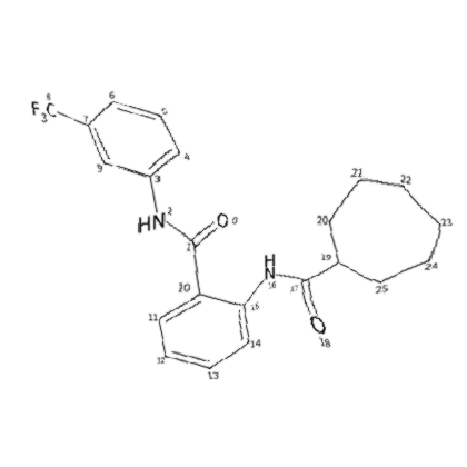 O=C(Nc1cccc(C(F)(F)F)c1)c1ccccc1NC(=O)C1CCCCCC1